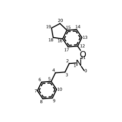 CN(CCCc1ccccc1)Oc1ccc2c(c1)CCC2